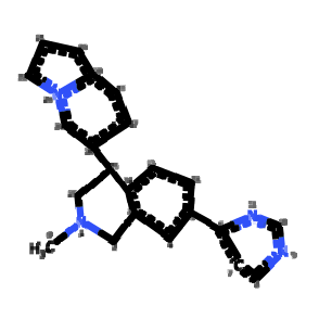 CN1Cc2cc(-c3ccncn3)ccc2C(c2ccc3cccn3c2)C1